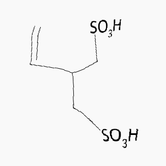 C=CC(CS(=O)(=O)O)CS(=O)(=O)O